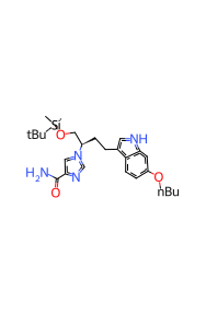 CCCCOc1ccc2c(CC[C@H](CO[Si](C)(C)C(C)(C)C)n3cnc(C(N)=O)c3)c[nH]c2c1